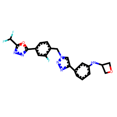 Fc1cc(-c2nnc(C(F)F)o2)ccc1Cn1cc(-c2cccc(NC3COC3)c2)nn1